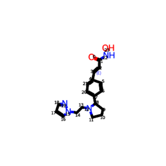 O=C(/C=C/c1ccc(C2CCCN2CCn2cccn2)cc1)NO